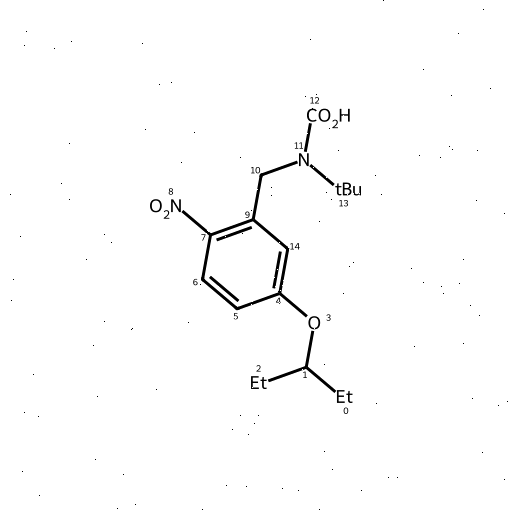 CCC(CC)Oc1ccc([N+](=O)[O-])c(CN(C(=O)O)C(C)(C)C)c1